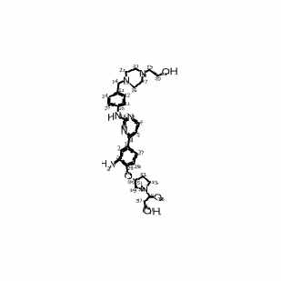 Nc1cc(-c2ccnc(Nc3ccc(CN4CCN(CCO)CC4)cc3)n2)ccc1O[C@@H]1CCN(C(=O)CO)C1